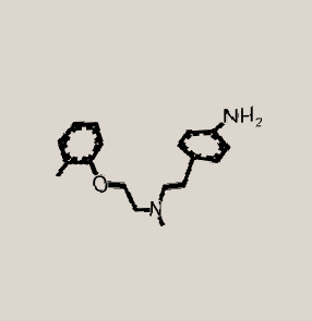 Cc1ccccc1OCCN(C)CCc1ccc(N)cc1